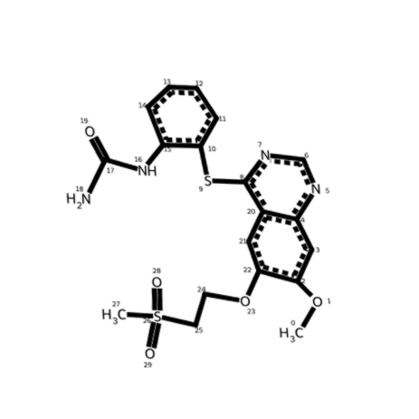 COc1cc2ncnc(Sc3ccccc3NC(N)=O)c2cc1OCCS(C)(=O)=O